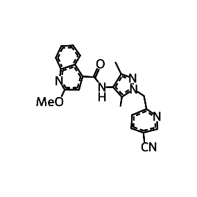 COc1cc(C(=O)Nc2c(C)nn(Cc3ccc(C#N)cn3)c2C)c2ccccc2n1